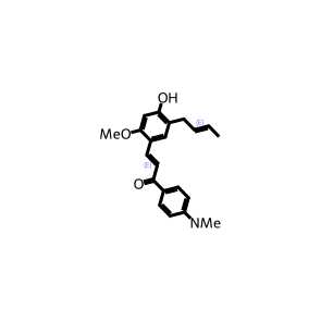 C/C=C/Cc1cc(/C=C/C(=O)c2ccc(NC)cc2)c(OC)cc1O